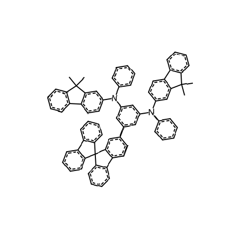 CC1(C)c2ccccc2-c2ccc(N(c3ccccc3)c3cc(-c4ccc5c(c4)C4(c6ccccc6-c6ccccc64)c4ccccc4-5)cc(N(c4ccccc4)c4ccc5c(c4)C(C)(C)c4ccccc4-5)c3)cc21